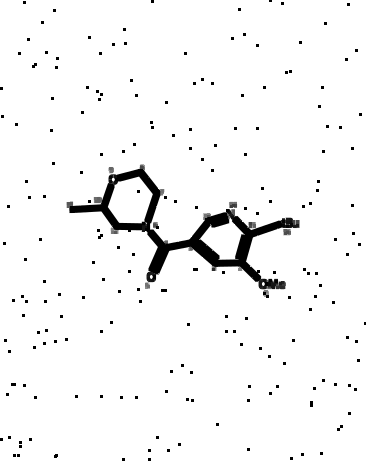 COc1cc(C(=O)N2CCOC(C)C2)cnc1C(C)(C)C